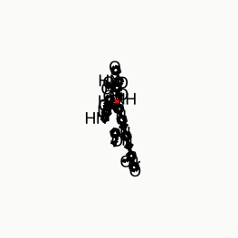 COc1cc(C2CC(N3CCN(C4CC5(CCN(c6ccc(C(=O)NS(=O)(=O)c7cc8c(c([N+](=O)[O-])c7)N[C@H](C7CCOCC7)CO8)c(N7c8cc9cc[nH]c9nc8O[C@H]8COCC[C@@H]87)c6)CC5)C4)[C@H](c4ccccc4OC(C)C)C3)C2)ccc1N1CCOC[C@@H]1C